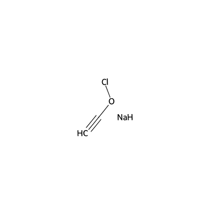 C#COCl.[NaH]